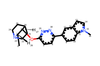 C[C@H]1[C@H](Oc2ccc(-c3ccc4c(ccn4C)c3)nn2)C2CCN1CC2